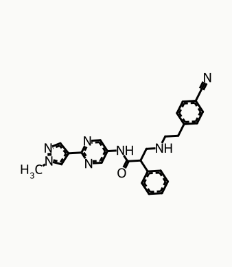 Cn1cc(-c2ncc(NC(=O)C(CNCCc3ccc(C#N)cc3)c3ccccc3)cn2)cn1